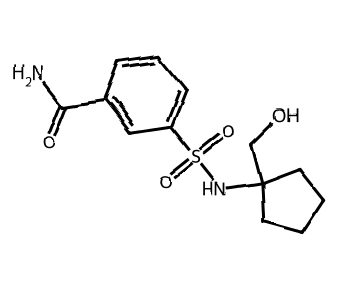 NC(=O)c1cccc(S(=O)(=O)NC2(CO)CCCC2)c1